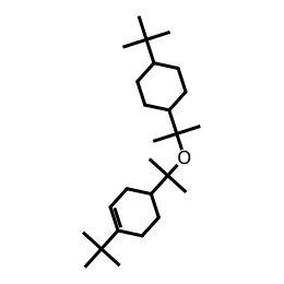 CC(C)(C)C1=CCC(C(C)(C)OC(C)(C)C2CCC(C(C)(C)C)CC2)CC1